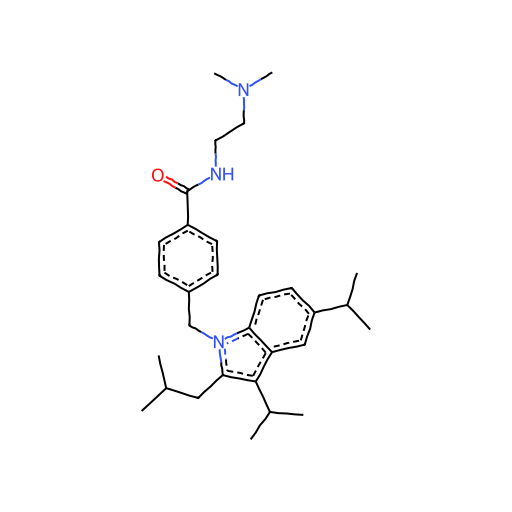 CC(C)Cc1c(C(C)C)c2cc(C(C)C)ccc2n1Cc1ccc(C(=O)NCCN(C)C)cc1